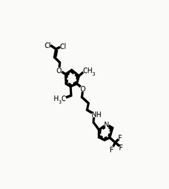 CCc1cc(OCC=C(Cl)Cl)cc(C)c1OCCCNCc1ccc(C(F)(F)F)cn1